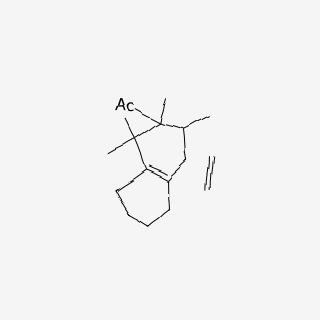 C=C.CC(=O)C1(C)C(C)CC2=C(CCCC2)C1(C)C